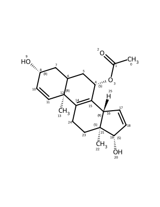 CC(=O)O[C@H]1CC2C[C@@H](O)C=C[C@]2(C)C2=C1[C@@H]1C=C[C@H](O)[C@@]1(C)CC2